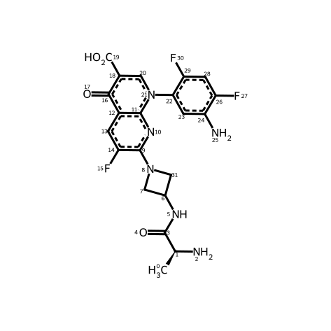 C[C@H](N)C(=O)NC1CN(c2nc3c(cc2F)c(=O)c(C(=O)O)cn3-c2cc(N)c(F)cc2F)C1